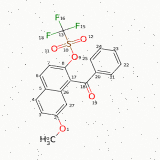 COc1ccc2ccc(OS(=O)(=O)C(F)(F)F)c(C(=O)c3ccccc3)c2c1